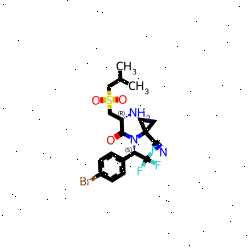 CC(C)CS(=O)(=O)C[C@H](N)C(=O)N([C@@H](c1ccc(Br)cc1)C(F)(F)F)C1(C#N)CC1